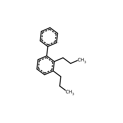 CCCc1cccc(-c2[c]cccc2)c1CCC